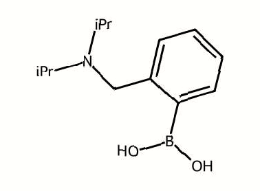 CC(C)N(Cc1ccccc1B(O)O)C(C)C